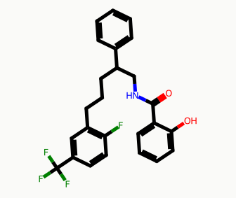 O=C(NCC(CCCc1cc(C(F)(F)F)ccc1F)c1ccccc1)c1ccccc1O